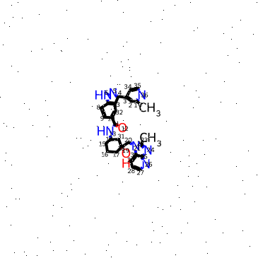 Cc1cc(-c2n[nH]c3ccc(C(=O)NC4CCCC(O)(Cn5c(C)nc6ncccc65)C4)cc23)ccn1